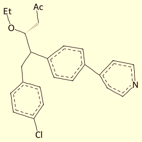 CCO[C@H](CC(C)=O)C(Cc1ccc(Cl)cc1)c1ccc(-c2ccncc2)cc1